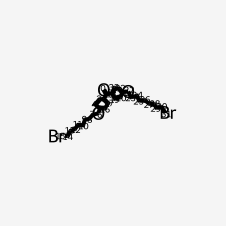 O=C(c1ccc(OCCCCCCCCBr)cc1)c1ccc(OCCCCCCCCBr)cc1